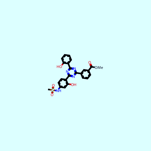 COC(=O)c1cccc(-c2nc(-c3ccccc3O)nc(-c3ccc(NS(C)(=O)=O)cc3O)n2)c1